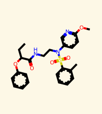 CCC(Oc1ccccc1)C(=O)NCCN(c1ccc(OC)nc1)S(=O)(=O)c1ccccc1C